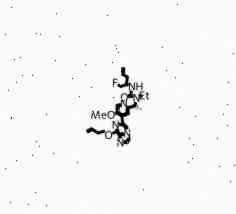 C=CCCOc1nc(-c2cc([C@@H](C)N(CC)C(=O)NC(CF)CC=C)ncc2OC)cn2ccnc12